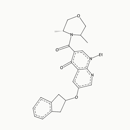 CCn1cc(C(=O)N2C(C)COC[C@H]2C)c(=O)c2cc(OC3Cc4ccccc4C3)cnc21